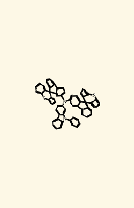 c1ccc(-n2c3ccccc3c3ccc(N(c4ccc5c(c4)-c4ccccc4C54c5ccccc5Sc5ccccc54)c4ccc5c(c4)C4(c6ccccc6Sc6ccccc64)c4ccccc4-5)cc32)cc1